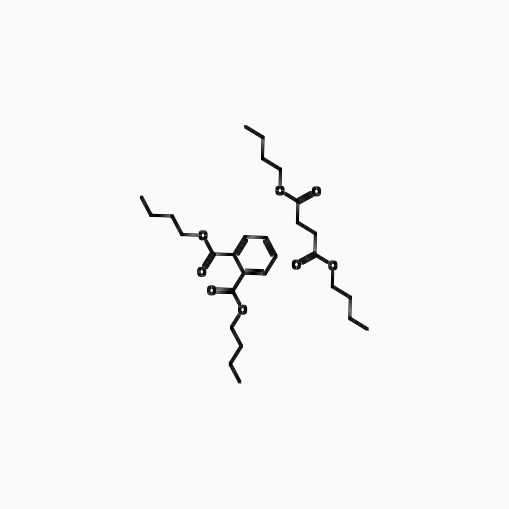 CCCCOC(=O)CCC(=O)OCCCC.CCCCOC(=O)c1ccccc1C(=O)OCCCC